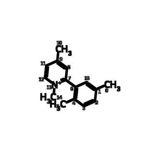 Cc1ccc(C)c(-c2cc(C)cc[n+]2C)c1